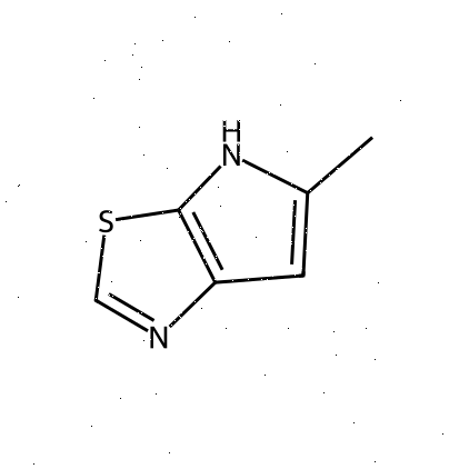 Cc1cc2ncsc2[nH]1